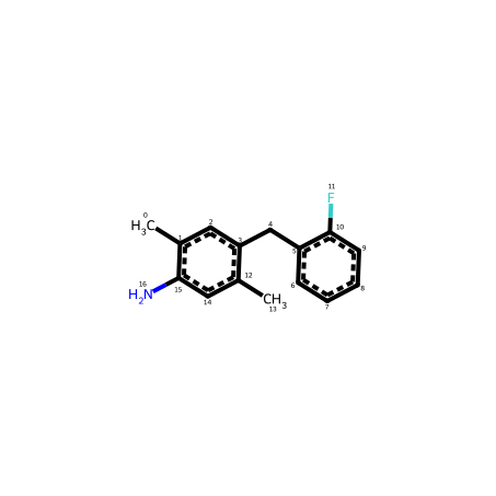 Cc1cc(Cc2ccccc2F)c(C)cc1N